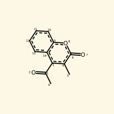 CC(=O)c1c(C)c(=O)oc2ccccc12